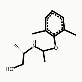 Cc1cccc(C)c1OC(C)N[C@@H](C)CO